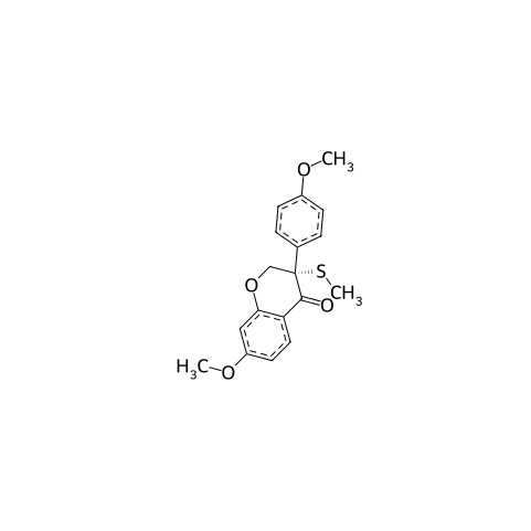 COc1ccc([C@]2(SC)COc3cc(OC)ccc3C2=O)cc1